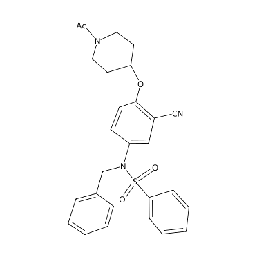 CC(=O)N1CCC(Oc2ccc(N(Cc3ccccc3)S(=O)(=O)c3ccccc3)cc2C#N)CC1